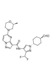 C[C@H]1CN(c2ccn3ncc(C(=O)Nc4cn([C@H]5CC[C@H](C=O)CC5)nc4C(F)F)c3n2)CCO1